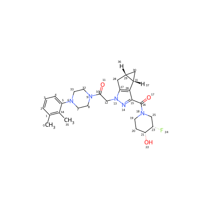 Cc1cccc(N2CCN(C(=O)Cn3nc(C(=O)N4CC[C@@H](O)[C@@H](F)C4)c4c3C[C@@H]3C[C@H]43)CC2)c1C